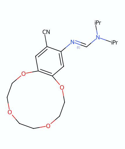 CC(C)N(/C=N/c1cc2c(cc1C#N)OCCOCCOCCO2)C(C)C